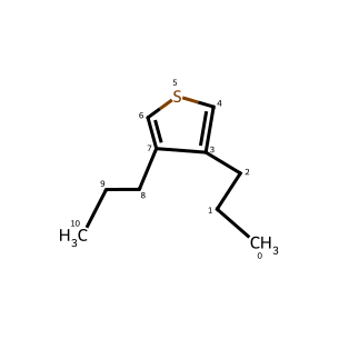 CCCc1cscc1CCC